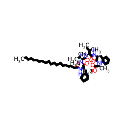 CCCCCCCCCCCCCCCCCCCC(=O)N[C@H](Cc1ccccc1)C(=O)N(C)[C@H](C(=O)N[C@H](C(=O)N[C@@H](Cc1ccccc1)C(=O)N[C@@H](C)C(=O)OC)C(C)CC)C(C)C